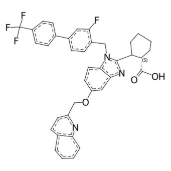 O=C(O)[C@H]1CCCCC1c1nc2cc(OCc3ccc4ccccc4n3)ccc2n1Cc1ccc(-c2ccc(C(F)(F)F)cc2)cc1F